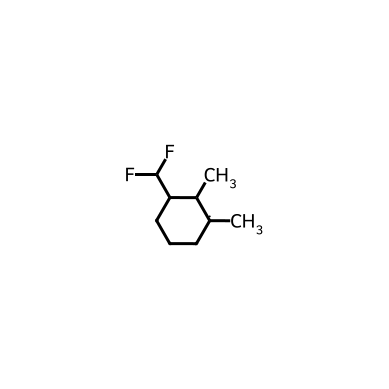 C[C]1CCCC(C(F)F)C1C